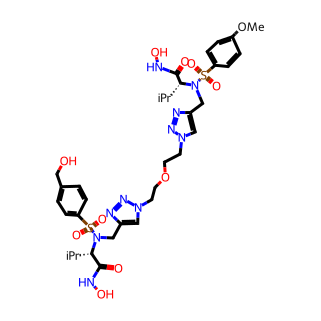 COc1ccc(S(=O)(=O)N(Cc2cn(CCOCCn3cc(CN([C@H](C(=O)NO)C(C)C)S(=O)(=O)c4ccc(CO)cc4)nn3)nn2)[C@@H](C(=O)NO)C(C)C)cc1